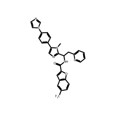 Cn1c(-c2ccc(-n3ccnc3)cc2)cnc1C(Cc1ccccn1)NC(=O)c1cc2cc(C(F)(F)F)ccc2o1